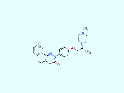 CC(COc1ccc(N2N=C3c4cc(F)ccc4CCC3CC2=O)cc1)N1CCN(C)CC1